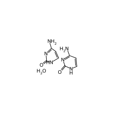 Nc1cc[nH]c(=O)n1.Nc1cc[nH]c(=O)n1.O